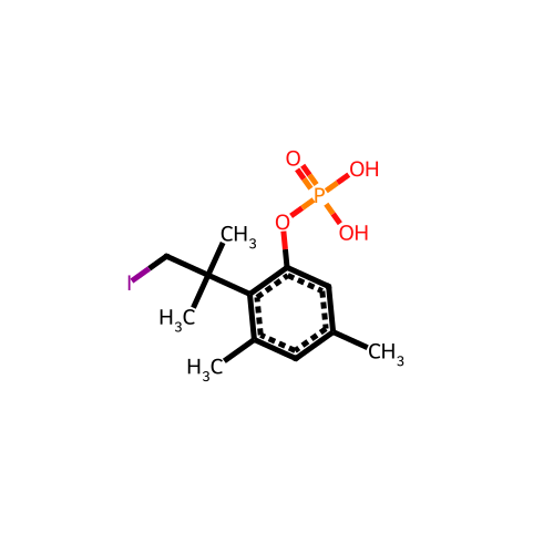 Cc1cc(C)c(C(C)(C)CI)c(OP(=O)(O)O)c1